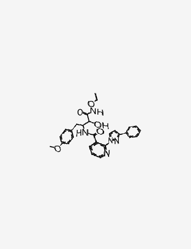 CCONC(=O)C(O)C(Cc1ccc(OC)cc1)NC(=O)c1cccnc1-n1ccc(-c2ccccc2)n1